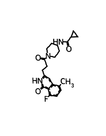 Cc1ccc(F)c2c(=O)[nH]c(CCC(=O)N3CCC(NC(=O)C4CC4)CC3)cc12